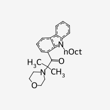 CCCCCCCCn1c2ccccc2c2cccc(C(=O)C(C)(C)N3CCOCC3)c21